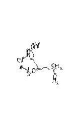 CC(C)CCC[C@H](C)CC(CNCl)CC(=O)O